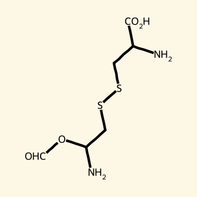 NC(CSSCC(N)C(=O)O)OC=O